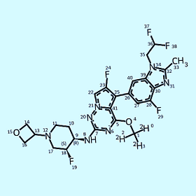 [2H]C([2H])([2H])Oc1nc(N[C@@H]2CCN(C3COC3)C[C@@H]2F)nn2cc(F)c(-c3cc(F)c4nc(C)n(CC(F)F)c4c3)c12